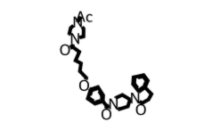 CC(=O)N1CCN(C(=O)CCCCCOc2ccc(C(=O)N3CCC(N4C(=O)CCc5ccccc54)CC3)cc2)CC1